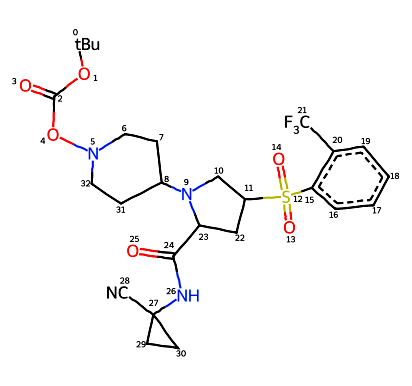 CC(C)(C)OC(=O)ON1CCC(N2CC(S(=O)(=O)c3ccccc3C(F)(F)F)CC2C(=O)NC2(C#N)CC2)CC1